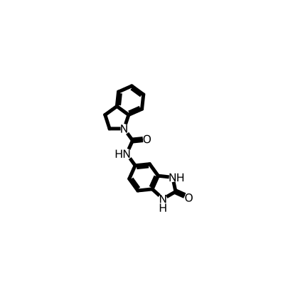 O=C(Nc1ccc2[nH]c(=O)[nH]c2c1)N1CCc2ccccc21